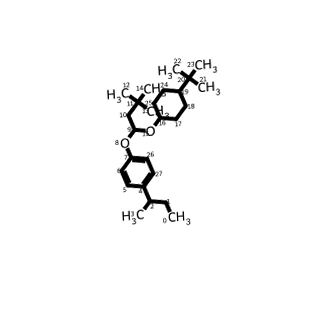 CCC(C)c1ccc(OC(CC(C)(C)C)OC2CCC(C(C)(C)C)CC2)cc1